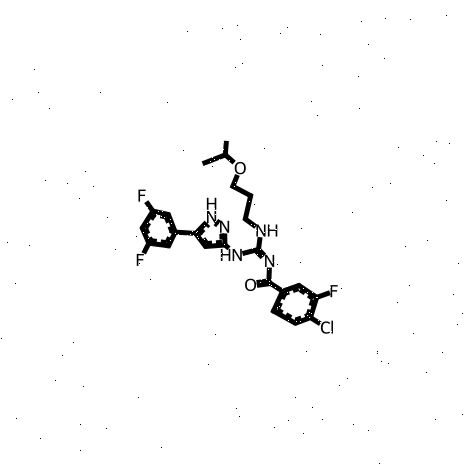 CC(C)OCCCN/C(=N/C(=O)c1ccc(Cl)c(F)c1)Nc1cc(-c2cc(F)cc(F)c2)[nH]n1